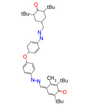 CC1=C(C(C)(C)C)C(=O)C(C(C)(C)C)=C/C1=C/N=N/c1ccc(OC2C=CC(/N=N/CC3CC(C(C)(C)C)C(=O)C(C(C)(C)C)C3)=CC2)cc1